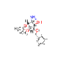 CC1(C)O[C@@H]2[C@@H](OCc3ccccc3)[C@H](O)C(N)[C@@H]2O1